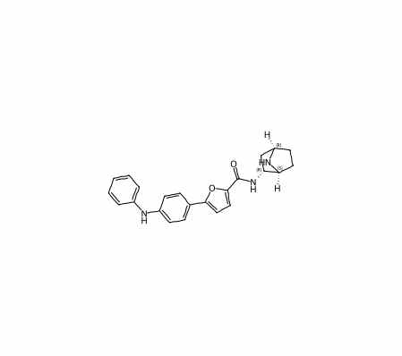 O=C(N[C@@H]1C[C@H]2CC[C@@H]1N2)c1ccc(-c2ccc(Nc3ccccc3)cc2)o1